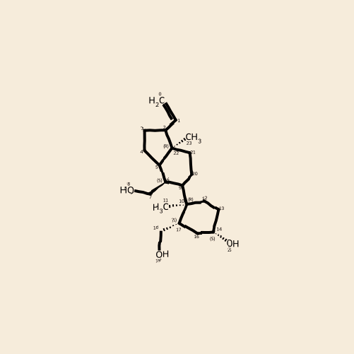 C=CC1CCC2[C@H](CO)C([C@@]3(C)CC[C@H](O)C[C@@H]3CO)CC[C@]12C